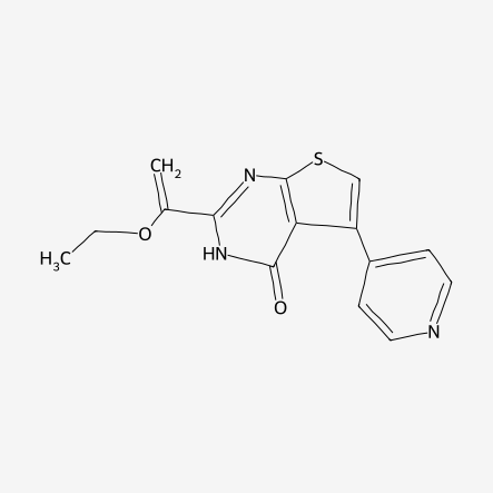 C=C(OCC)c1nc2scc(-c3ccncc3)c2c(=O)[nH]1